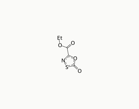 CCOC(=O)c1nsc(=O)o1